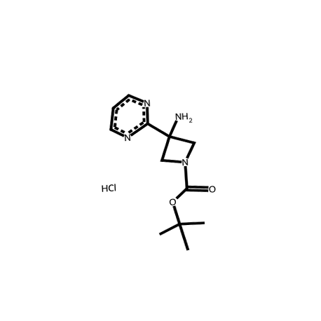 CC(C)(C)OC(=O)N1CC(N)(c2ncccn2)C1.Cl